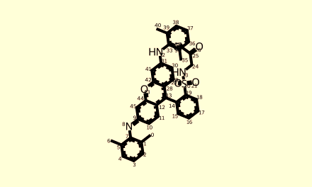 Cc1cccc(C)c1/N=c1\ccc2c(-c3ccccc3S(=O)(=O)NCC(=O)Cl)c3ccc(Nc4c(C)cccc4C)cc3oc-2c1